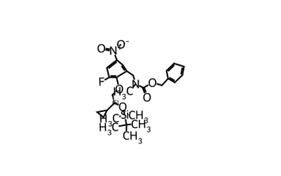 CN(Cc1cc([N+](=O)[O-])cc(F)c1OC[C@@H](O[Si](C)(C)C(C)(C)C)C1CC1)C(=O)OCc1ccccc1